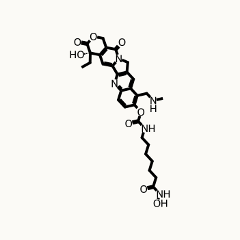 CC[C@@]1(O)C(=O)OCc2c1cc1n(c2=O)Cc2cc3c(CNC)c(OC(=O)NCCCCCCC(=O)NO)ccc3nc2-1